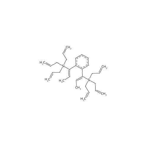 C=CC[Si](CC=C)(CC=C)C(=CC)c1ccccc1C(=CC)[Si](CC=C)(CC=C)CC=C